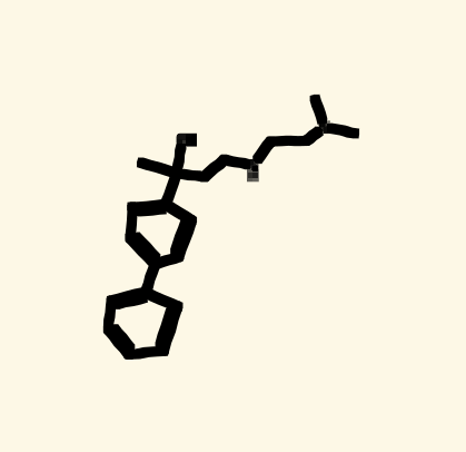 CN(C)CCNCCC(C)(O)c1ccc(-c2ccccc2)cc1